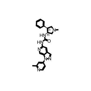 Cc1cc(-n2ncc3cc(NC(=O)N[C@H]4CN(C)C[C@@H]4c4ccccc4)ncc32)ccn1